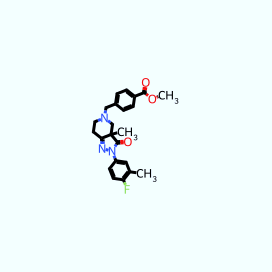 COC(=O)c1ccc(CN2CCC3=NN(c4ccc(F)c(C)c4)C(=O)C3(C)C2)cc1